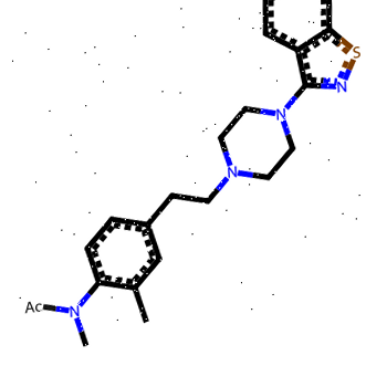 CC(=O)N(C)c1ccc(CCN2CCN(c3nsc4ccccc34)CC2)cc1C